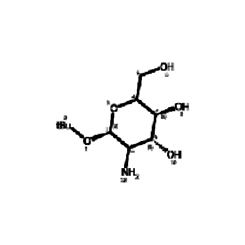 CC(C)(C)O[C@H]1OC(CO)[C@@H](O)[C@H](O)C1N